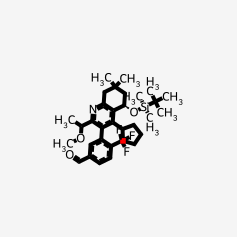 COC(C)c1nc2c(c(C3CCCC3)c1-c1cc(C=O)ccc1C(F)(F)F)[C@@H](O[Si](C)(C)C(C)(C)C)CC(C)(C)C2